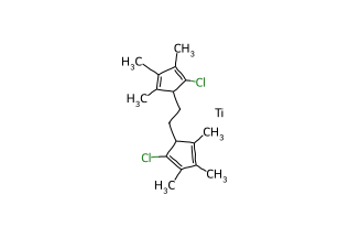 CC1=C(C)C(CCC2C(C)=C(C)C(C)=C2Cl)C(Cl)=C1C.[Ti]